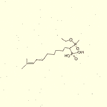 CCOP(C)(=O)C(CCCCCCCC=C(C)C)P(=O)(O)O